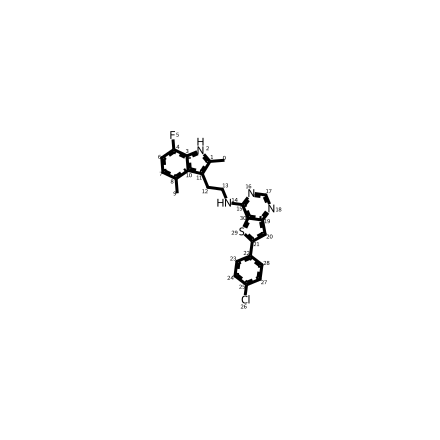 Cc1[nH]c2c(F)ccc(C)c2c1CCNc1ncnc2cc(-c3ccc(Cl)cc3)sc12